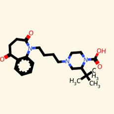 CC(C)(C)C1CN(CCCCN2C(=O)CCC(=O)c3ccccc32)CCN1C(=O)O